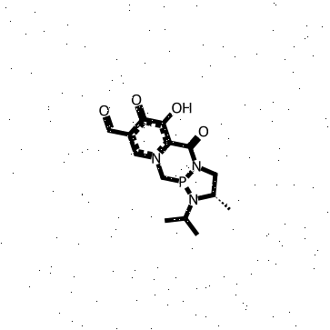 CC(C)N1[C@@H](C)CN2C(=O)c3c(O)c(=O)c(C=O)cn3CP21